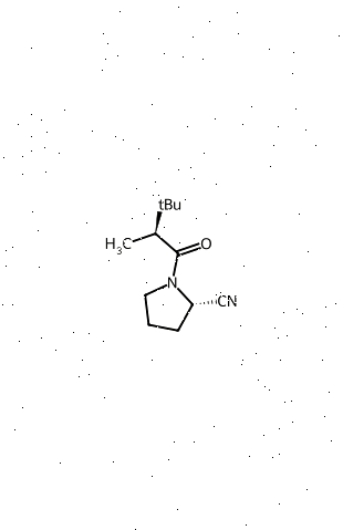 C[C@H](C(=O)N1CCC[C@H]1C#N)C(C)(C)C